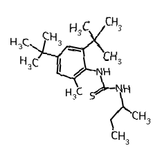 CCC(C)NC(=S)Nc1c(C)cc(C(C)(C)C)cc1C(C)(C)C